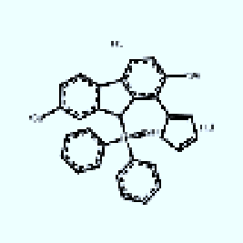 CC(C)(C)c1ccc2c(c1)[CH]([Hf](=[SiH2])([c]1ccccc1)[c]1ccccc1)c1c-2ccc(C(C)(C)C)c1C1=CC=CC1.Cl.Cl